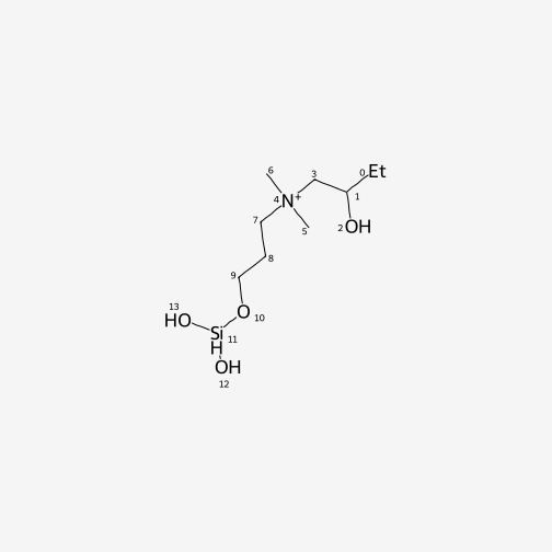 CCC(O)C[N+](C)(C)CCCO[SiH](O)O